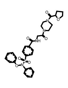 O=C(NCC(=O)N1CCN(C(=O)C2CCCO2)CC1)c1ccc(S(=O)(=O)N(Oc2ccccc2)c2ccccc2)cc1